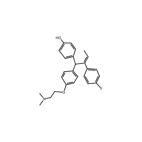 C/C=C(/c1ccc(F)cc1)C(c1ccc(O)cc1)c1ccc(OCCN(C)C)cc1